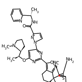 C[C@H](NC(=O)c1ccn(-c2cc(O[C@@H](C)[C@@H]3CCCN3C)nc(-c3onc4c3CCC[C@@]43CCCc4sc(N)c(C#N)c43)n2)n1)c1ccccn1